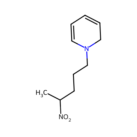 CC(CCCN1C=CC=CC1)[N+](=O)[O-]